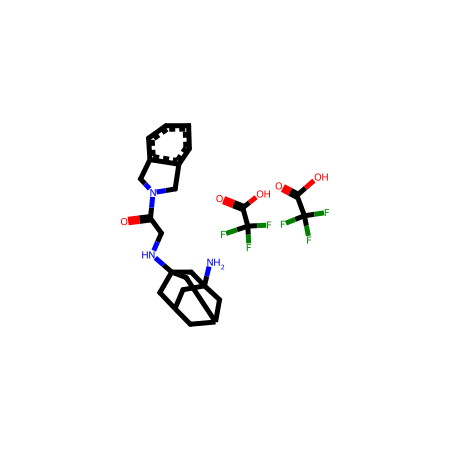 NC12CC3CC(C1)CC(NCC(=O)N1Cc4ccccc4C1)(C3)C2.O=C(O)C(F)(F)F.O=C(O)C(F)(F)F